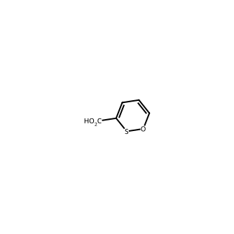 O=C(O)C1=CC=COS1